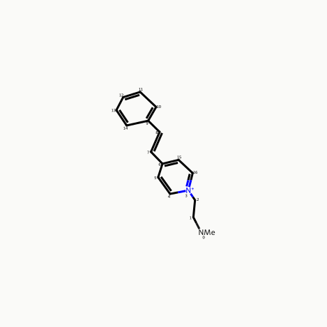 CNCC[n+]1ccc(/C=C/c2ccccc2)cc1